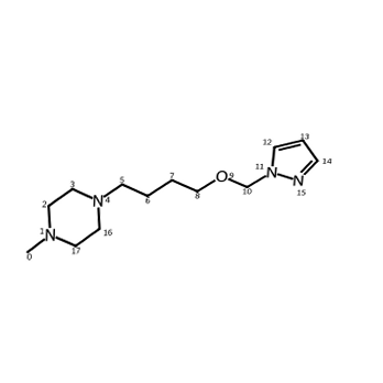 CN1CCN(CCCCOCn2cccn2)CC1